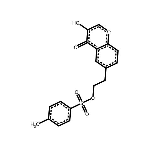 Cc1ccc(S(=O)(=O)OCCc2ccc3occ(O)c(=O)c3c2)cc1